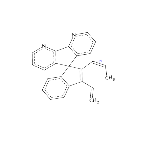 C=CC1=C(/C=C\C)C2(c3ccccc31)c1cccnc1-c1ncccc12